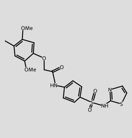 COc1cc(OCC(=O)Nc2ccc(S(=O)(=O)Nc3nccs3)cc2)c(OC)cc1C